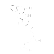 CC(=O)[C@H](CC(=O)OCCC(C)CCCC(C)C)NC(=O)[C@@H](C)Cc1ccccc1